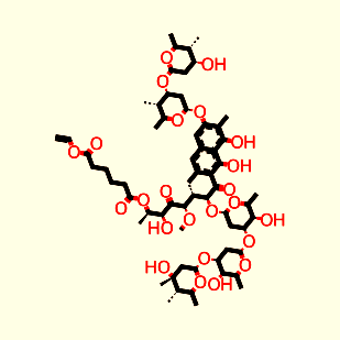 C=COC(=O)CCCCC(=O)O[C@H](C)[C@H](O)C(=O)[C@@H](OC)[C@@H]1Cc2cc3cc(O[C@H]4C[C@@H](OC5C[C@@H](O)[C@@H](C)C(C)O5)[C@@H](C)C(C)O4)c(C)c(O)c3c(O)c2C(=O)[C@H]1O[C@H]1C[C@@H](O[C@H]2C[C@@H](O[C@H]3C[C@@](C)(O)[C@@H](C)C(C)O3)[C@H](O)C(C)O2)[C@H](O)C(C)O1